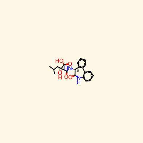 CC(C)C[C@](O)(C(=O)O)C(=O)N[C@@H]1C(=O)Nc2ccccc2-c2ccccc21